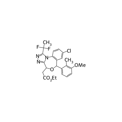 CCOC(=O)CC1OC(c2cccc(OC)c2C)c2cc(Cl)ccc2-n2c1nnc2C(C)(F)F